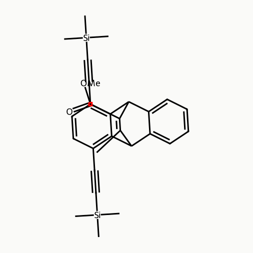 COC(=O)C1=C(C)C2c3ccccc3C1c1c(C#C[Si](C)(C)C)ccc(C#C[Si](C)(C)C)c12